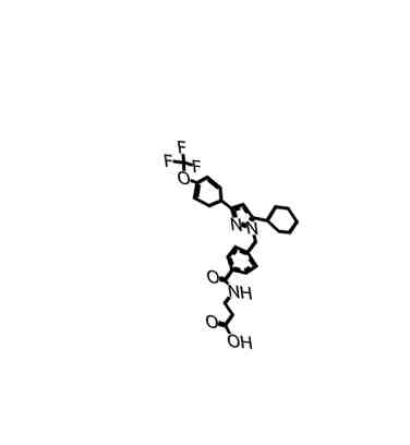 O=C(O)CCNC(=O)c1ccc(Cn2nc(C3C=CC(OC(F)(F)F)=CC3)cc2C2CCCCC2)cc1